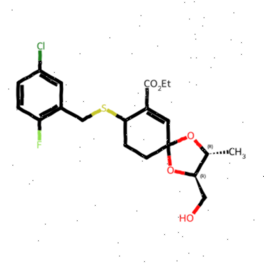 CCOC(=O)C1=CC2(CCC1SCc1cc(Cl)ccc1F)O[C@H](C)[C@@H](CO)O2